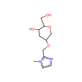 Cn1ccnc1COC1COC(CO)C(O)C1